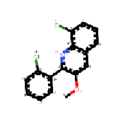 COc1cc2cccc(Cl)c2nc1-c1ccccc1Cl